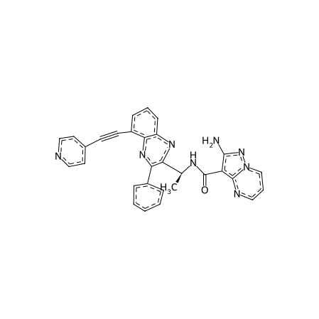 C[C@H](NC(=O)c1c(N)nn2cccnc12)c1nc2cccc(C#Cc3ccncc3)c2nc1-c1ccccc1